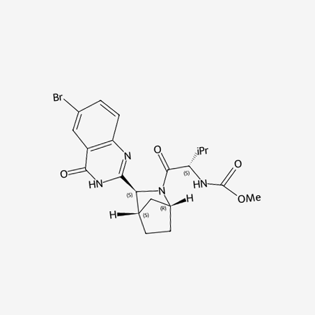 COC(=O)N[C@H](C(=O)N1[C@@H]2CC[C@@H](C2)[C@H]1c1nc2ccc(Br)cc2c(=O)[nH]1)C(C)C